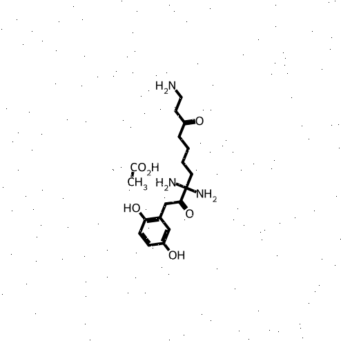 CC(=O)O.NCCC(=O)CCCCC(N)(N)C(=O)Cc1cc(O)ccc1O